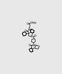 COC(=O)CCNC(=O)C1(c2ccccc2)CC[C@@H](C(=O)N2CCC(NC(=O)c3ccccc3N3CCOCC3)CC2)c2ccccc21